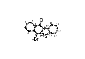 O=c1c2ccccc2c(Br)c2sc3ccccc3n12